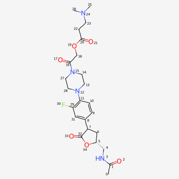 CC(=O)NC[C@H]1CC(c2ccc(N3CCN(C(=O)COC(=O)CCN(C)C)CC3)c(F)c2)C(=O)O1